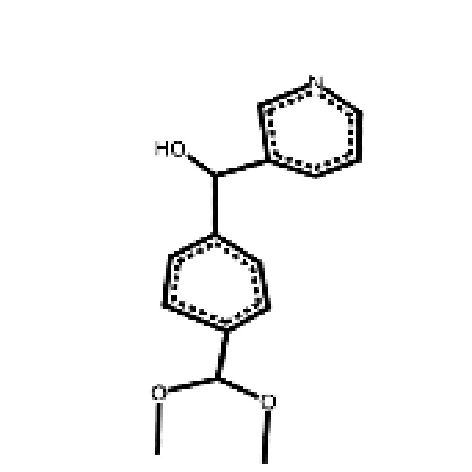 COC(OC)c1ccc(C(O)c2cccnc2)cc1